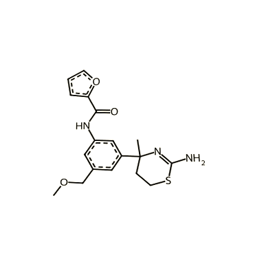 COCc1cc(NC(=O)c2ccco2)cc(C2(C)CCSC(N)=N2)c1